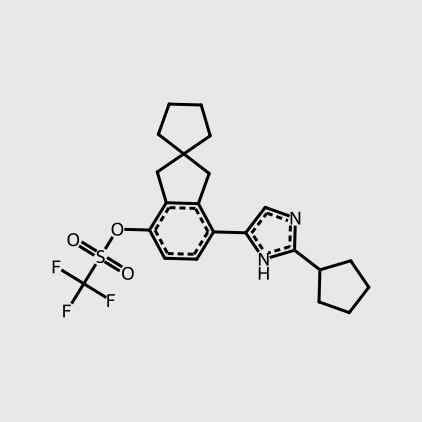 O=S(=O)(Oc1ccc(-c2cnc(C3CCCC3)[nH]2)c2c1CC1(CCCC1)C2)C(F)(F)F